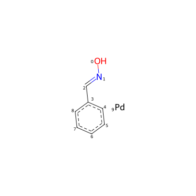 ON=Cc1ccccc1.[Pd]